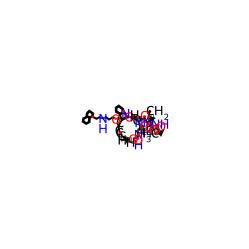 C=C[C@@H]1C[C@]1(NC(=O)[C@@H]1C[C@@H]2CN1C(=O)[C@H](C(C)(C)C)NC(=O)O[C@@H]1C[C@H]1CCCCCc1c(nc3ccccc3c1OCCCNCCc1cccc3ccccc13)O2)C(=O)NS(=O)(=O)C1(C)CC1